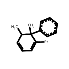 CCC1=CC=CC(C)C1(C)c1ccccc1